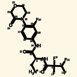 NC[C@H](NC(=O)C(F)(F)C(F)F)C(=O)Nc1ccc(N2CCOCC2=O)c(F)c1